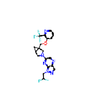 FC(F)Cn1ncc2ncc(N3CC4CC4(COc4cccnc4C(F)(F)F)C3)nc21